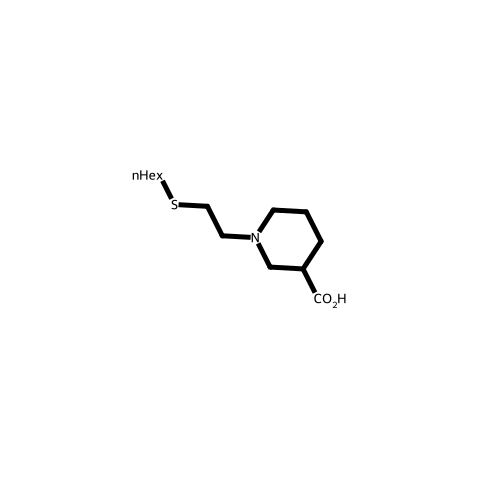 CCCCCCSCCN1CCCC(C(=O)O)C1